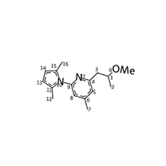 COC(C)Cc1cc(C)cc(-n2c(C)ccc2C)n1